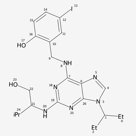 CCC(CC)n1cnc2c(NCc3cc(I)ccc3O)nc(NC(CO)C(C)C)nc21